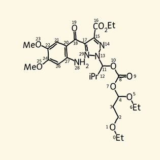 CCOCCC(OCC)OC(=O)OC(C(C)C)n1nc(C(=O)OCC)c(C(=O)c2cc(OC)c(OC)cc2N)n1